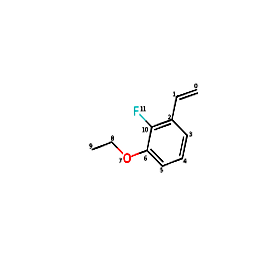 C=Cc1cccc(OCC)c1F